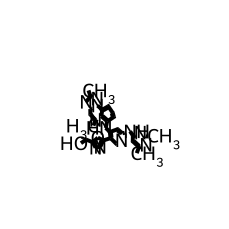 Cc1cc(Nc2cc(Nc3cccc4c3N(C)Cc3nc(C)nn3-4)c(-c3nnc(CO)o3)cn2)nc(C)n1